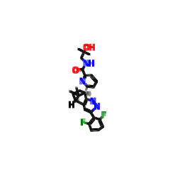 CC(C)(O)CNC(=O)c1cccc([C@]23CC[C@@H](c4cc(-c5c(F)cccc5F)nnc42)C3(C)C)n1